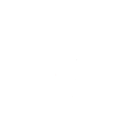 C#CCC1CCc2cscc2OC1